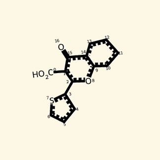 O=C(O)c1c(-c2cccs2)oc2ccccc2c1=O